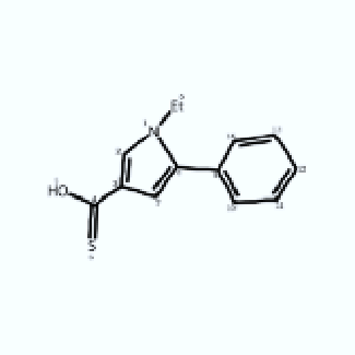 CCn1cc(C(O)=S)cc1-c1ccccc1